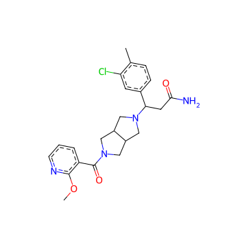 COc1ncccc1C(=O)N1CC2CN(C(CC(N)=O)c3ccc(C)c(Cl)c3)CC2C1